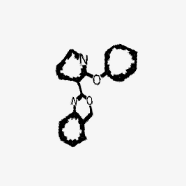 c1ccc(Oc2ncccc2C2=Nc3ccccc3CO2)cc1